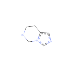 [c]1ncn2c1CCNC2